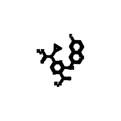 NC(=O)c1ncc(N(C(N)=O)C2CC2)nc1Nc1cnc2ccc(F)cc2c1